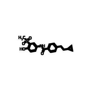 CS(=O)(=O)c1cc(NC(=O)c2ccc(CCC3CC3)cc2)ccc1O